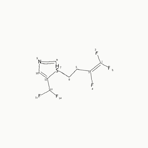 FC(F)=C(F)CC[SH]1C=NC=C1C(F)F